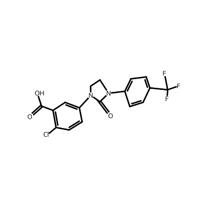 O=C(O)c1cc(N2CCN(c3ccc(C(F)(F)F)cc3)C2=O)ccc1Cl